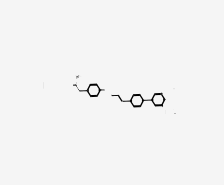 CCOC(Cc1ccc(OC/C=C/c2ccc(-c3cc(C(C)(C)C)cc(C(C)(C)C)c3)cc2)cc1)C(=O)O